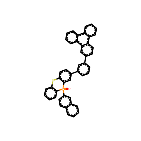 O=P1(c2ccc3ccccc3c2)c2ccccc2Sc2ccc(-c3cccc(-c4ccc5c6ccccc6c6ccccc6c5c4)c3)cc21